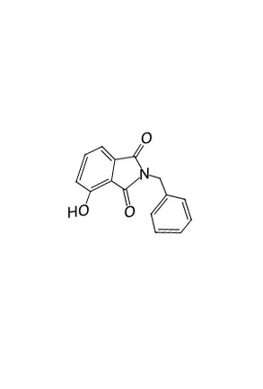 O=C1c2cccc(O)c2C(=O)N1Cc1ccccc1